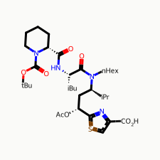 CCCCCCN(C(=O)[C@@H](NC(=O)[C@H]1CCCCN1C(=O)OC(C)(C)C)[C@@H](C)CC)[C@H](C[C@@H](OC(C)=O)c1nc(C(=O)O)cs1)C(C)C